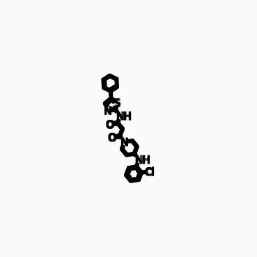 O=C(CC(=O)N1CCC(Nc2ccccc2Cl)CC1)Nc1ncc(C2=CCCC=C2)s1